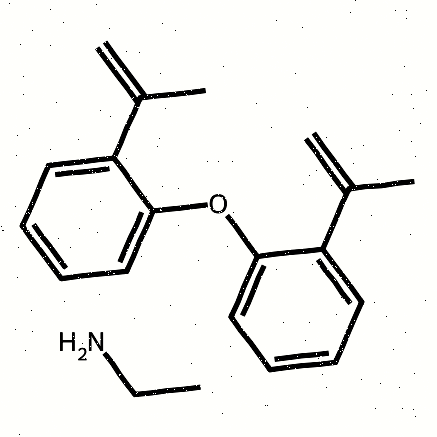 C=C(C)c1ccccc1Oc1ccccc1C(=C)C.CCN